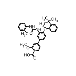 COc1cc(-c2ccc(Oc3ccccc3C(C)(C)C)c(NC(=O)Nc3ccccc3C)c2)ccc1C(=O)O